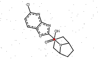 O=C(O)N1C2CCC1CN(c1nc3nc(Cl)ccc3o1)C2